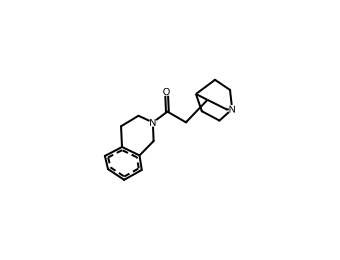 O=C(CC1CN2CCC1CC2)N1CCc2ccccc2C1